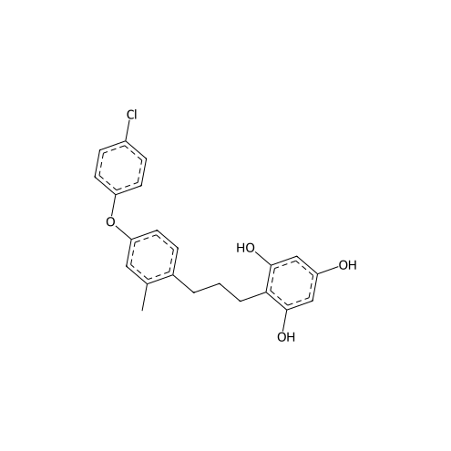 Cc1cc(Oc2ccc(Cl)cc2)ccc1CCCc1c(O)cc(O)cc1O